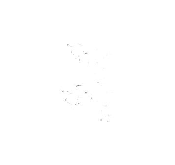 COOP(=O)(OC[C@H]1O[C@@H](n2ccc(=O)[nH]c2=O)C[C@@H]1F)O[C@@H]1[C@H](F)[C@@H](COP(=O)(O)O)O[C@H]1n1cnc2c(N)ncnc21